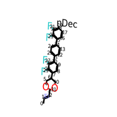 C/C=C/C1OCC(c2ccc(-c3ccc(-c4ccc(CCCCCCCCCC)c(F)c4F)cc3)c(F)c2F)CO1